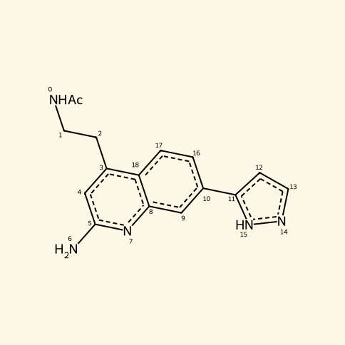 CC(=O)NCCc1cc(N)nc2cc(-c3ccn[nH]3)ccc12